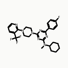 CN(c1nc(-c2ccc(F)cc2)nc(N2CCN(c3ncccc3C(F)(F)F)CC2)n1)C1CCCCC1